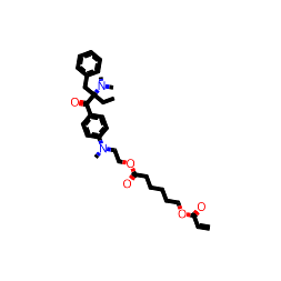 C=CC(=O)OCCCCCC(=O)OCCN(C)c1ccc(C(=O)C(CC)(Cc2ccccc2)N(C)C)cc1